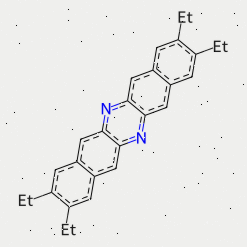 CCc1cc2cc3nc4cc5cc(CC)c(CC)cc5cc4nc3cc2cc1CC